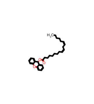 CCCCC/C=C\C/C=C\CCCCCCCC(=O)OC1c2ccccc2Oc2ccccc21